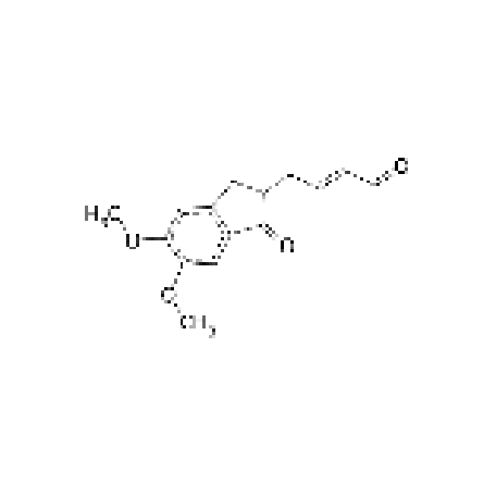 COc1cc2c(cc1OC)C(=O)C(CC=CC=O)C2